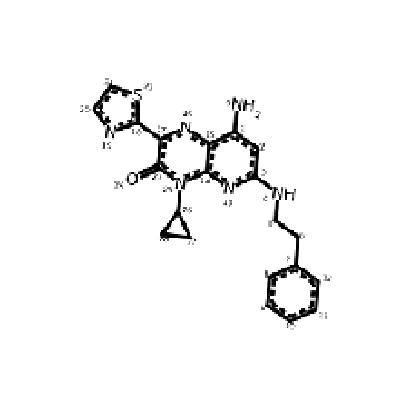 Nc1cc(NCCc2ccccc2)nc2c1nc(-c1nccs1)c(=O)n2C1CC1